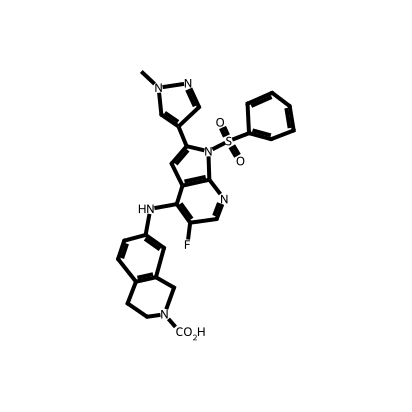 Cn1cc(-c2cc3c(Nc4ccc5c(c4)CN(C(=O)O)CC5)c(F)cnc3n2S(=O)(=O)c2ccccc2)cn1